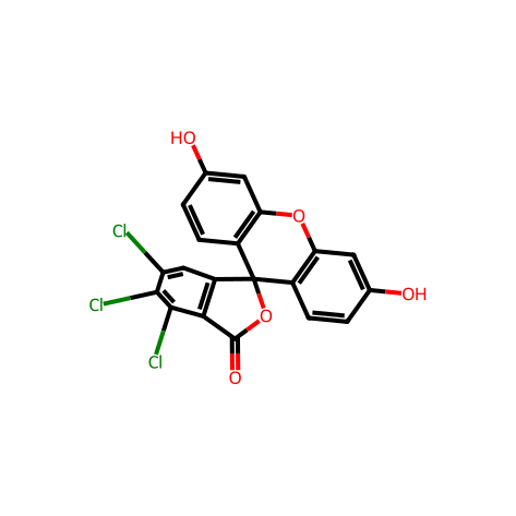 O=C1OC2(c3ccc(O)cc3Oc3cc(O)ccc32)c2cc(Cl)c(Cl)c(Cl)c21